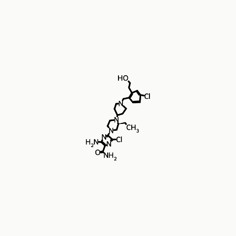 CC[C@H]1CN(c2nc(N)c(C(N)=O)nc2Cl)CCN1C1CCN(Cc2ccc(Cl)cc2CCO)CC1